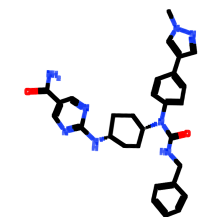 Cn1cc(-c2ccc(N(C(=O)NCc3ccccc3)[C@H]3CC[C@@H](Nc4ncc(C(N)=O)cn4)CC3)cc2)cn1